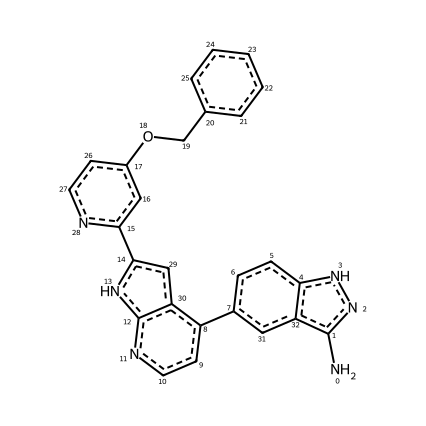 Nc1n[nH]c2ccc(-c3ccnc4[nH]c(-c5cc(OCc6ccccc6)ccn5)cc34)cc12